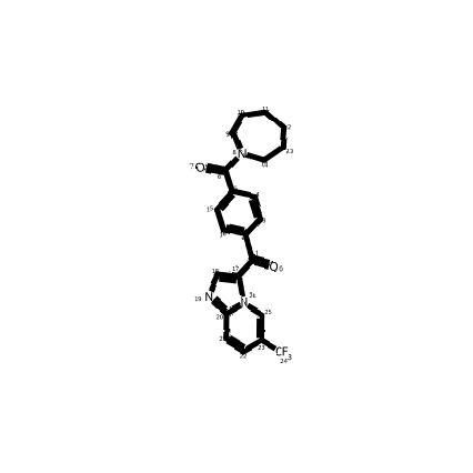 O=C(c1ccc(C(=O)N2CCCCCC2)cc1)c1cnc2ccc(C(F)(F)F)cn12